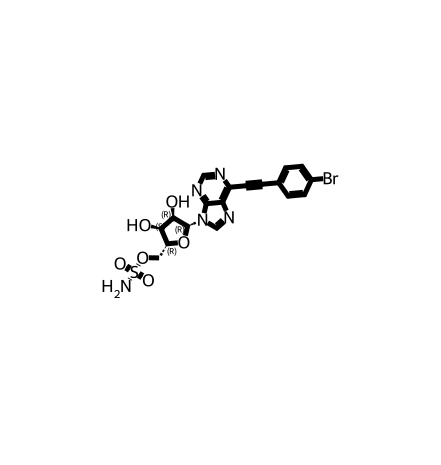 NS(=O)(=O)OC[C@H]1O[C@@H](n2cnc3c(C#Cc4ccc(Br)cc4)ncnc32)[C@H](O)[C@@H]1O